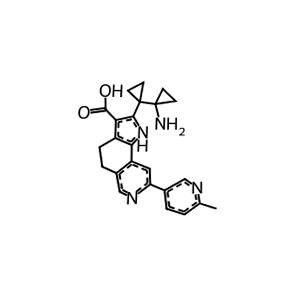 Cc1ccc(-c2cc3c(cn2)CCc2c-3[nH]c(C3(C4(N)CC4)CC3)c2C(=O)O)cn1